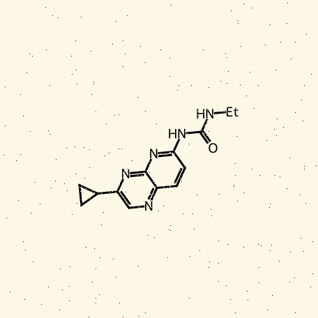 CCNC(=O)Nc1ccc2ncc(C3CC3)nc2n1